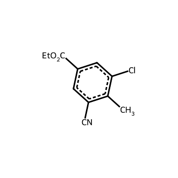 CCOC(=O)c1cc(Cl)c(C)c(C#N)c1